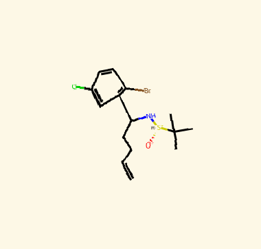 C=CCCC(N[S@@+]([O-])C(C)(C)C)c1cc(Cl)ccc1Br